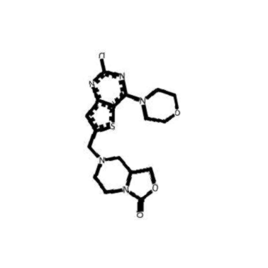 O=C1OCC2CN(Cc3cc4nc(Cl)nc(N5CCOCC5)c4s3)CCN12